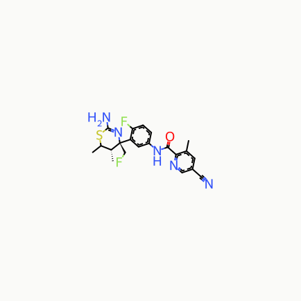 Cc1cc(C#N)cnc1C(=O)Nc1ccc(F)c([C@@]2(CF)N=C(N)SC(C)[C@H]2C)c1